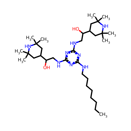 CCCCCCCCNc1nc(NCC(O)C2CC(C)(C)NC(C)(C)C2)nc(NCC(O)C2CC(C)(C)NC(C)(C)C2)n1